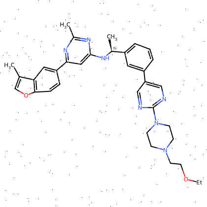 CCOCCN1CCN(c2ncc(-c3cccc([C@H](C)Nc4cc(-c5ccc6occ(C)c6c5)nc(C)n4)c3)cn2)CC1